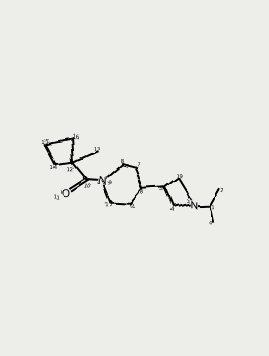 CC(C)N1CC(C2CCN(C(=O)C3(C)CCC3)CC2)C1